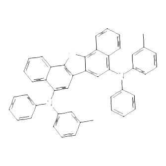 Cc1cccc(N(c2ccccc2)c2cc3c4cc(N(c5ccccc5)c5cccc(C)c5)c5ccccc5c4oc3c3ccccc23)c1